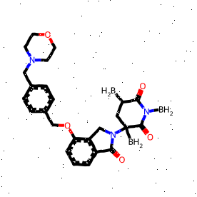 BC1CC(B)(N2Cc3c(OCc4ccc(CN5CCOCC5)cc4)cccc3C2=O)C(=O)N(B)C1=O